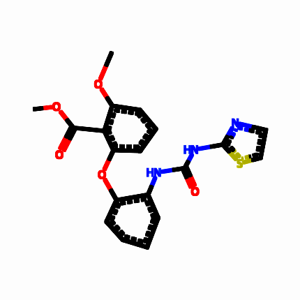 COC(=O)c1c(OC)cccc1Oc1ccccc1NC(=O)Nc1nccs1